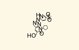 CS(=O)(=O)c1ccc(Nc2ncc3cc(CO)c(=O)n(C4CCCC4)c3n2)nc1